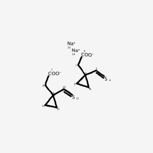 O=C([O-])CC1(C=S)CC1.O=C([O-])CC1(C=S)CC1.[Na+].[Na+]